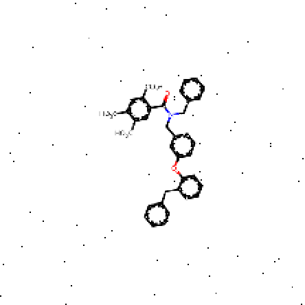 O=C(O)c1cc(C(=O)O)c(C(=O)N(Cc2ccccc2)Cc2cccc(Oc3ccccc3Cc3ccccc3)c2)cc1C(=O)O